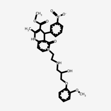 COC(=O)C1=C(C)Nc2ccn(CCNCC(O)COc3ccccc3OC)c(=O)c2C1c1cccc([N+](=O)[O-])c1